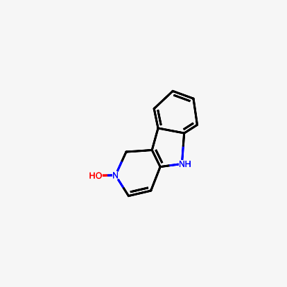 ON1C=Cc2[nH]c3ccccc3c2C1